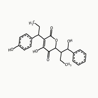 CCC(C1=C(O)C(=O)C(C(CC)C(O)c2ccccc2)OC1=O)c1ccc(O)cc1